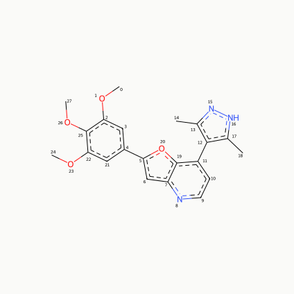 COc1cc(-c2cc3nccc(-c4c(C)n[nH]c4C)c3o2)cc(OC)c1OC